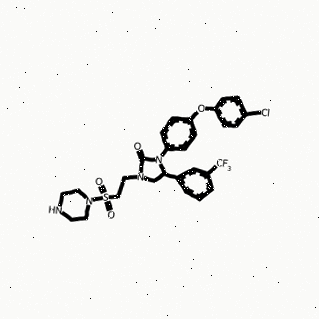 O=C1N(CCS(=O)(=O)N2CCNCC2)CC(c2cccc(C(F)(F)F)c2)N1c1ccc(Oc2ccc(Cl)cc2)cc1